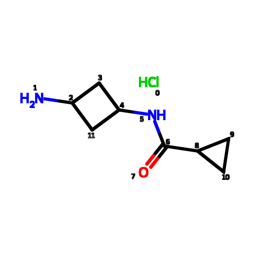 Cl.NC1CC(NC(=O)C2CC2)C1